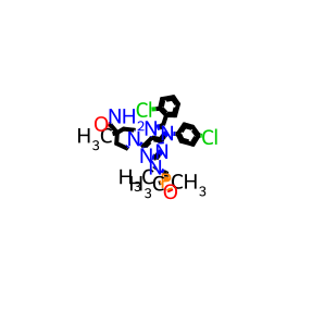 CN(CP(C)(C)=O)c1nc(N2CCC(C)(C(N)=O)CC2)c2nc(-c3ccccc3Cl)n(-c3ccc(Cl)cc3)c2n1